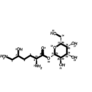 NCC(O)CC[C@H](N)C(=O)O[C@@H]1O[C@H](CO)[C@H](O)[C@H](O)[C@H]1O